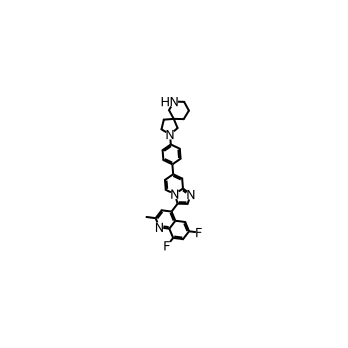 Cc1cc(-c2cnc3cc(-c4ccc(N5CCC6(CCCNC6)C5)cc4)ccn23)c2cc(F)cc(F)c2n1